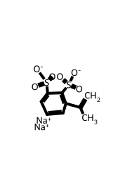 C=C(C)c1cccc(S(=O)(=O)[O-])c1S(=O)(=O)[O-].[Na+].[Na+]